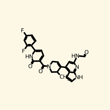 CC1CN(C(=O)c2ccc(-c3ccc(F)cc3F)[nH]c2=O)CC=C1c1cc(NC=O)nc2[nH]ccc12